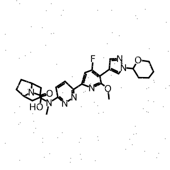 COc1nc(-c2ccc(N(C)C3CC4CCC(C3)N4C(=O)O)nn2)cc(F)c1-c1cnn(C2CCCCO2)c1